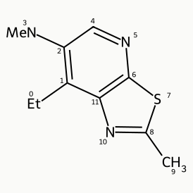 CCc1c(NC)cnc2sc(C)nc12